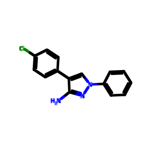 Nc1nn(-c2ccccc2)cc1-c1ccc(Cl)cc1